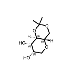 CC1(C)OC[C@@H]2OC[C@H](O)[C@H](O)[C@H]2O1